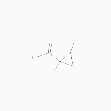 CCC(=O)C1(C(F)(F)F)CC1Br